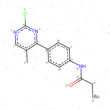 Cc1cnc(Cl)nc1-c1ccc(NC(=O)CC(C)(C)C)cc1